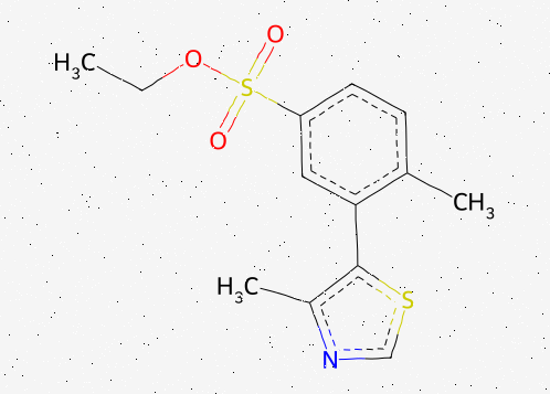 CCOS(=O)(=O)c1ccc(C)c(-c2scnc2C)c1